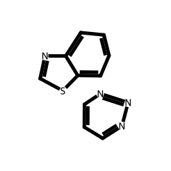 c1ccc2scnc2c1.c1cnnnc1